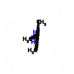 CCCCCCCCC=CCCCCCCCCOCC(COCCCCCCCCC=CCCCCCCCC)OC(=O)NCCNCCCC